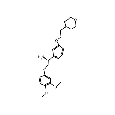 COc1ccc(CC[C@@H](N)c2cccc(OCCN3CCOCC3)c2)cc1OC